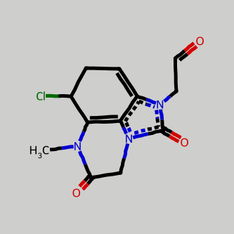 CN1C(=O)Cn2c3c(n(CC=O)c2=O)=CCC(Cl)C=31